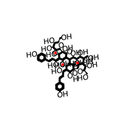 O=C1C(C(C2=C(O)/C(=C(O)/C=C/c3ccc(O)cc3)C(=O)C(O)([C@@H]3O[C@H](CO)[C@@H](O)[C@H](O)[C@H]3O)C2=O)[C@H](O)[C@@H](O)[C@H](O)[C@H](O)CO)=C(O)/C(=C(O)/C=C/c2ccc(O)cc2)C(=O)C1(O)[C@@H]1O[C@H](CO)[C@@H](O)[C@H](O)[C@H]1O